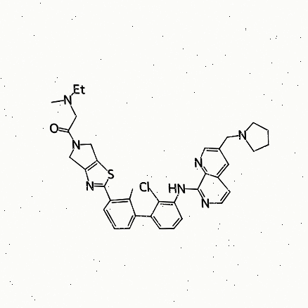 CCN(C)CC(=O)N1Cc2nc(-c3cccc(-c4cccc(Nc5nccc6cc(CN7CCCC7)cnc56)c4Cl)c3C)sc2C1